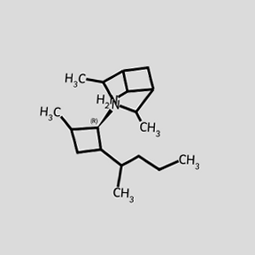 CCCC(C)C1CC(C)[C@H]1N1C(C)C2CC(C2N)C1C